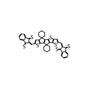 S=C1C(=Cc2cc3c(s2)C2=C(c4sc5cc(C=C6C(=S)c7ccccc7C6=S)sc5c4C24CCCCC4)C32CCCCC2)C(=S)c2ccccc21